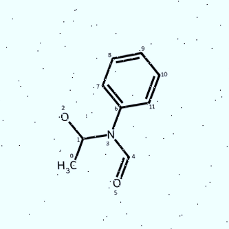 CC([O])N(C=O)c1ccccc1